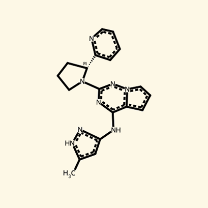 Cc1cc(Nc2nc(N3CCC[C@@H]3c3ccccn3)nn3cccc23)n[nH]1